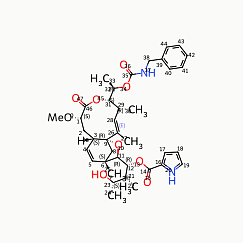 CO[C@H]1C[C@H]2C=C[C@]3(C)C[C@]2(O[C@H]3[C@H](OC(=O)c2ccc[nH]2)[C@H](C)[C@H](C)O)/C(C)=C/[C@@H](C)[C@@H]([C@@H](C)OC(=O)NCc2ccccc2)OC1=O